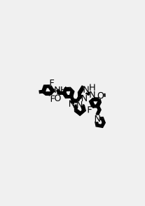 COc1cc(CCN2CCCCC2)c(F)cc1Nc1nccc(-c2c(-c3cccc(C(=O)Nc4c(F)cc(C)cc4F)c3)nc3ccccn23)n1